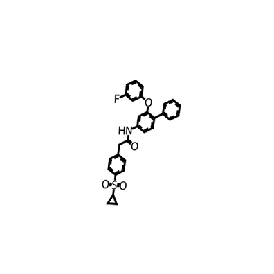 O=C(Cc1ccc(S(=O)(=O)C2CC2)cc1)Nc1ccc(-c2ccccc2)c(Oc2cccc(F)c2)c1